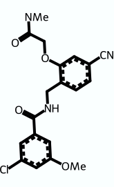 CNC(=O)COc1cc(C#N)ccc1CNC(=O)c1cc(Cl)cc(OC)c1